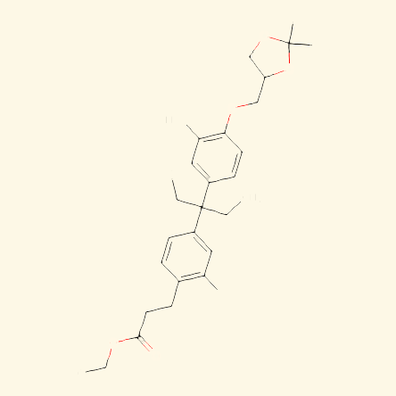 CCOC(=O)CCc1ccc(C(CC)(CC)c2ccc(OCC3COC(C)(C)O3)c(C)c2)cc1C